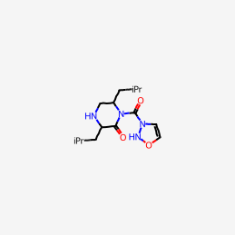 CC(C)CC1NCC(CC(C)C)N(C(=O)N2C=CON2)C1=O